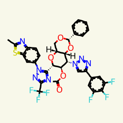 CC(=O)O[C@@H]1[C@@H](n2cc(-c3cc(F)c(F)c(F)c3)nn2)[C@H]2O[C@@H](c3ccccc3)OC[C@H]2O[C@H]1c1nc(C(F)(F)F)nn1-c1ccc2nc(C)sc2c1